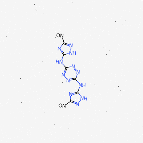 O=Nc1n[nH]c(Nc2nnc(Nc3nc(N=O)n[nH]3)nn2)n1